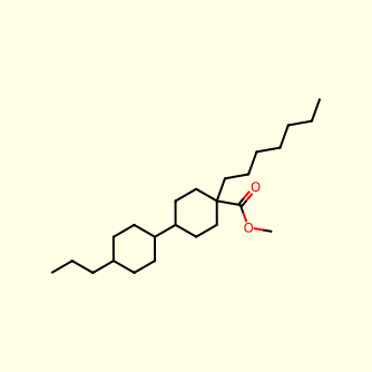 CCCCCCCC1(C(=O)OC)CCC(C2CCC(CCC)CC2)CC1